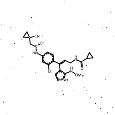 CCc1cc(N[S+]([O-])CC2(C#N)CC2)ccc1/C(=C/CNC(=O)C1CC1)c1cc[nH]c1NOC